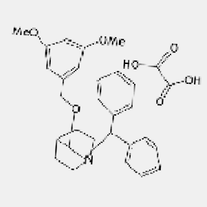 COc1cc(COC2C3CCN(CC3)C2C(c2ccccc2)c2ccccc2)cc(OC)c1.O=C(O)C(=O)O